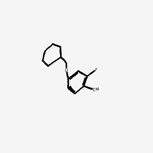 N#Cc1ccc(OCC2CCCCC2)cc1F